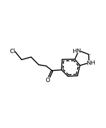 O=C(CCCCCl)c1ccc2c(c1)N[CH]N2